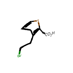 O=C(O)c1sccc1CCBr